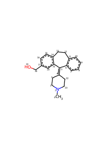 CN1CCC(=C2c3ccccc3CCc3ccc(CO)cc32)CC1